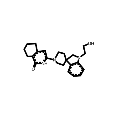 O=c1[nH]c(N2CCC3(CC2)CN(CCO)c2ccccc23)cc2c1CCCC2